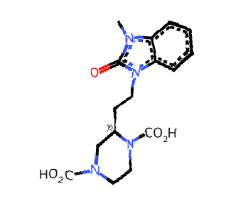 Cn1c(=O)n(CC[C@@H]2CN(C(=O)O)CCN2C(=O)O)c2ccccc21